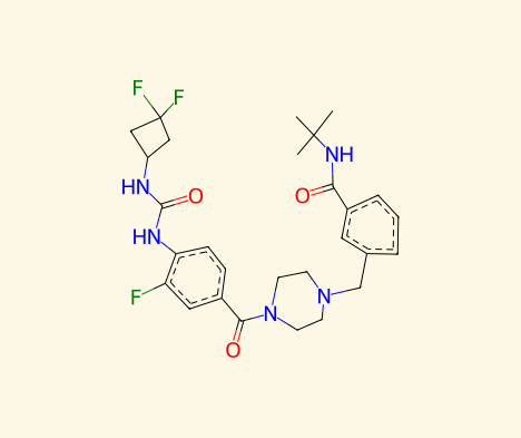 CC(C)(C)NC(=O)c1cccc(CN2CCN(C(=O)c3ccc(NC(=O)NC4CC(F)(F)C4)c(F)c3)CC2)c1